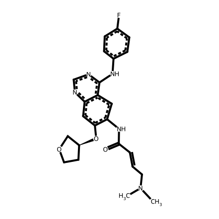 CN(C)C/C=C/C(=O)Nc1cc2c(Nc3ccc(F)cc3)ncnc2cc1O[C@H]1CCOC1